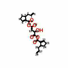 C=CCC1CCC=C1C(=O)OC(=O)CC(O)C(=O)OC(=O)C1=CCCC1CC=C